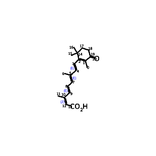 CC1=C(/C=C/C(C)=C/C=C/C(C)=C\C(=O)O)C(C)(C)CCC1=O